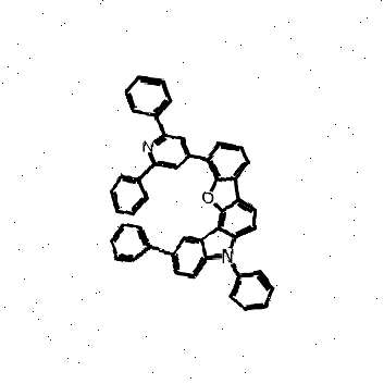 c1ccc(-c2ccc3c(c2)c2c4oc5c(-c6cc(-c7ccccc7)nc(-c7ccccc7)c6)cccc5c4ccc2n3-c2ccccc2)cc1